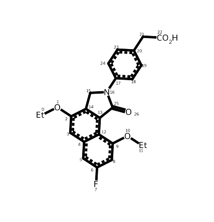 CCOc1cc2cc(F)cc(OCC)c2c2c1CN(c1ccc(CC(=O)O)cc1)C2=O